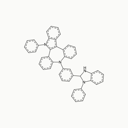 c1ccc(N2c3ccccc3NC2c2cccc(N3c4ccccc4-c4c(n(-c5ccccc5)c5ccccc45)-c4ccccc43)c2)cc1